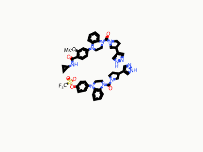 COc1cc(N2CCN(C(=O)N3CCC(c4cn[nH]c4)C3)c3ccccc32)ccc1C(=O)NC1CC1.O=C(N1CCC(c2cn[nH]c2)C1)N1CCN(c2ccc(OS(=O)(=O)C(F)(F)F)cc2)c2ccccc21